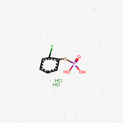 Cl.Cl.O=P(O)(O)Sc1ccccc1F